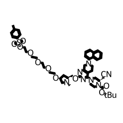 Cc1ccc(S(=O)(=O)OCCOCCOCCOCCO[C@@H]2C[C@@H](COc3nc4c(c(N5CCN(C(=O)OC(C)(C)C)[C@@H](CC#N)C5)n3)CCN(c3cccc5ccccc35)C4)N(C)C2)cc1